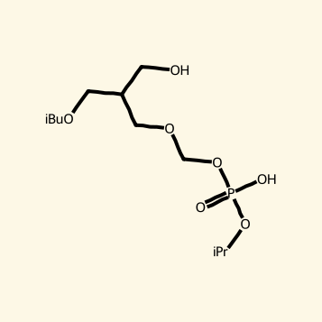 CC(C)COCC(CO)COCOP(=O)(O)OC(C)C